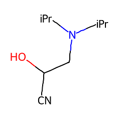 CC(C)N(CC(O)C#N)C(C)C